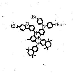 Cc1cc2c3c(c1)N(c1ccc4c(c1)C(C)(C)CCC4(C)C)c1cc4c(cc1B3c1ccc(N(c3ccc(C(C)(C)C)cc3)c3ccc(C(C)(C)C)cc3)cc1N2c1ccc2oc3cc(C(C)(C)C)ccc3c2c1)C(C)(C)CCC4(C)C